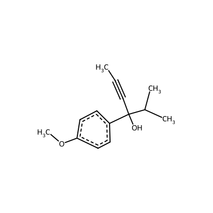 CC#CC(O)(c1ccc(OC)cc1)C(C)C